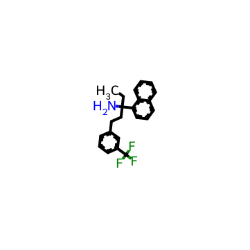 CCC(N)(CCc1cccc(C(F)(F)F)c1)c1cccc2ccccc12